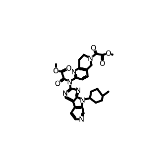 COC(=O)C(=O)N1CCc2nc(N(C(=O)C(=O)OC)c3ncc4c5ccncc5n(C5CCC(C)CC5)c4n3)ccc2C1